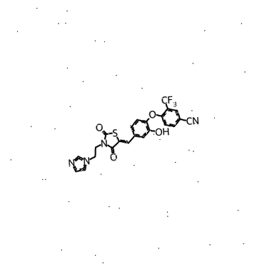 N#Cc1ccc(Oc2ccc(/C=C3\SC(=O)N(CCn4ccnc4)C3=O)cc2O)c(C(F)(F)F)c1